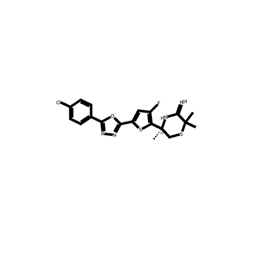 CC1(C)SC[C@@](C)(c2sc(-c3nnc(-c4ccc(Cl)cc4)o3)cc2F)NC1=N